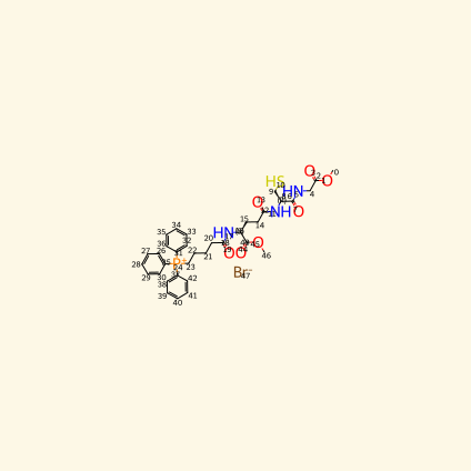 COC(=O)CNC(=O)[C@H](CS)NC(=O)CC[C@H](NC(=O)CCCC[P+](c1ccccc1)(c1ccccc1)c1ccccc1)C(=O)OC.[Br-]